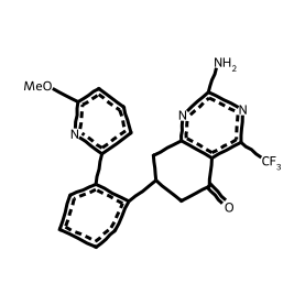 COc1cccc(-c2ccccc2C2CC(=O)c3c(nc(N)nc3C(F)(F)F)C2)n1